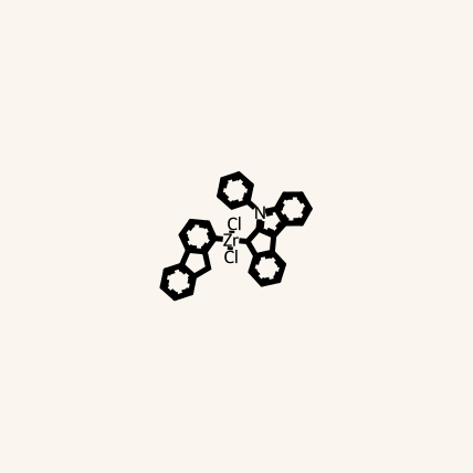 [Cl][Zr]([Cl])([c]1cccc2c1Cc1ccccc1-2)[CH]1c2ccccc2-c2c1n(-c1ccccc1)c1ccccc21